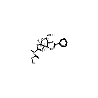 CN(C(=O)OC(C)(C)C)C1=N[C@@H]2[C@H](O)[C@H](OC(=O)c3ccccc3)[C@H](CO)O[C@@H]2S1